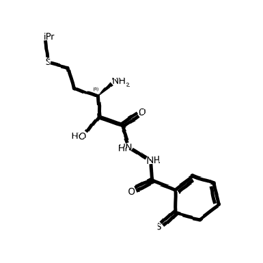 CC(C)SCC[C@@H](N)C(O)C(=O)NNC(=O)C1=CC=CCC1=S